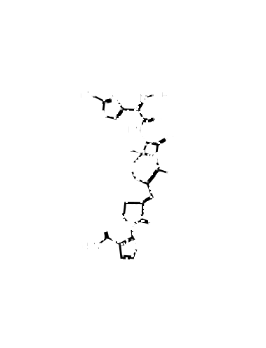 NC(=O)c1ccsc1N1CC/C(=C\C2=C(C(=O)O)N3C(=O)[C@@H](NC(=O)/C(=N\O)c4csc(N)n4)[C@H]3SC2)C1=O